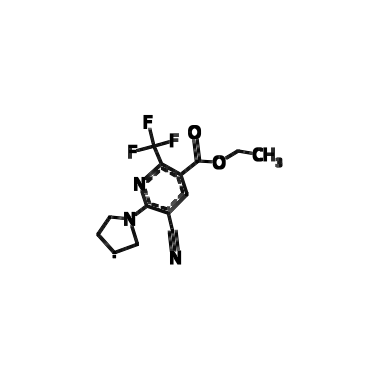 CCOC(=O)c1cc(C#N)c(N2C[CH]CC2)nc1C(F)(F)F